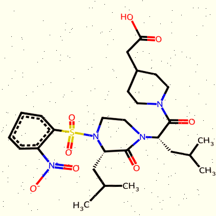 CC(C)C[C@@H](C(=O)N1CCC(CC(=O)O)CC1)N1CCN(S(=O)(=O)c2ccccc2[N+](=O)[O-])[C@@H](CC(C)C)C1=O